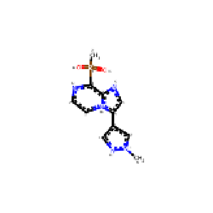 Cn1cc(-c2cnc3c(S(C)(=O)=O)nccn23)cn1